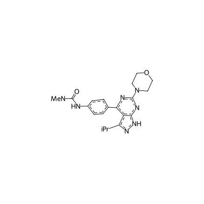 CNC(=O)Nc1ccc(-c2nc(N3CCOCC3)nc3[nH]nc(C(C)C)c23)cc1